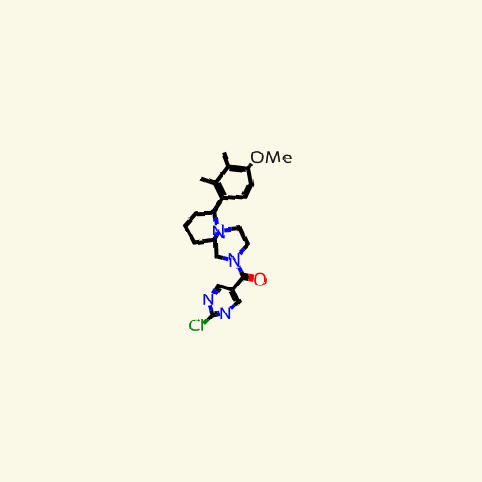 COc1ccc(C2CCCC3CN(C(=O)c4cnc(Cl)nc4)CCN32)c(C)c1C